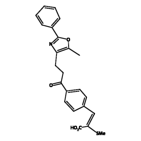 CSC(=Cc1ccc(C(=O)CCc2nc(-c3ccccc3)oc2C)cc1)C(=O)O